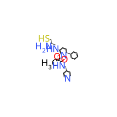 C[C@@H](Oc1nc(-c2ccccc2)ccc1NCC(N)CS)C(=O)NCc1ccncc1